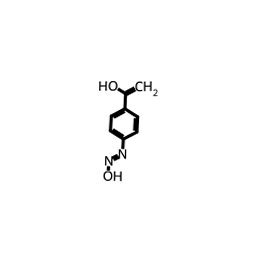 C=C(O)c1ccc(/N=N/O)cc1